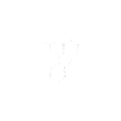 CC(C)C=C1c2ccccc2Sc2ccccc21